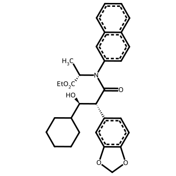 CCOC(=O)[C@H](C)N(C(=O)[C@H](c1ccc2c(c1)OCO2)[C@H](O)C1CCCCC1)c1ccc2ccccc2c1